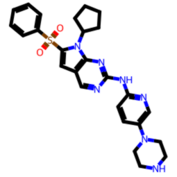 O=S(=O)(c1ccccc1)c1cc2cnc(Nc3ccc(N4CCNCC4)cn3)nc2n1C1CCCC1